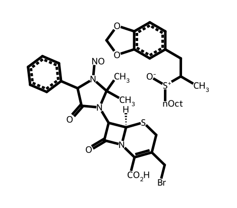 CC1(C)N(N=O)C(c2ccccc2)C(=O)N1C1C(=O)N2C(C(=O)O)=C(CBr)CS[C@H]12.CCCCCCCC[S+]([O-])C(C)Cc1ccc2c(c1)OCO2